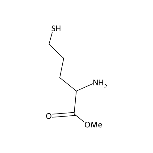 COC(=O)C(N)CCCS